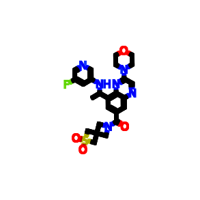 CC(Nc1cncc(F)c1)c1cc(C(=O)N2CC3(C2)CS(=O)(=O)C3)cc2ncc(N3CCOCC3)nc12